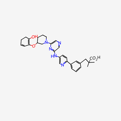 CC(C)(Cc1cccc(-c2ccc(Nc3cncc(N4CCCC(OC5=C(O)CCC=C5)C4)n3)cn2)c1)C(=O)O